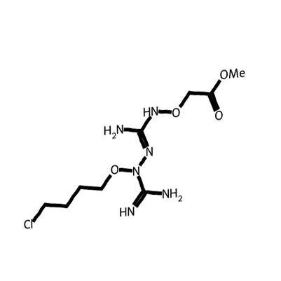 COC(=O)CONC(N)=NN(OCCCCCl)C(=N)N